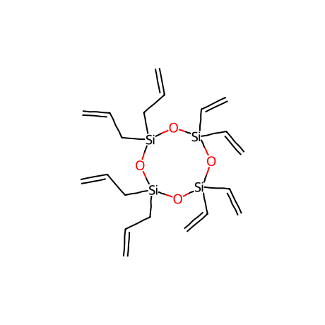 C=CC[Si]1(CC=C)O[Si](C=C)(C=C)O[Si](C=C)(C=C)O[Si](CC=C)(CC=C)O1